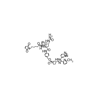 Cc1cccc(-c2nc(C3CCN(C(=O)OCc4ccc(NC(=O)C(CCCNC(N)=O)NC(=O)[C@@H](NC(=O)CCCCCN5C(=O)C=CC5=O)C(C)C)cc4)C3)[nH]c2-c2ccc3ncnn3c2)n1